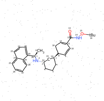 C[C@@H](N[C@H]1CCC[C@H](C2C=CC(C(=O)NOC(C)(C)C)=CC2)C1)c1cccc2ccccc12